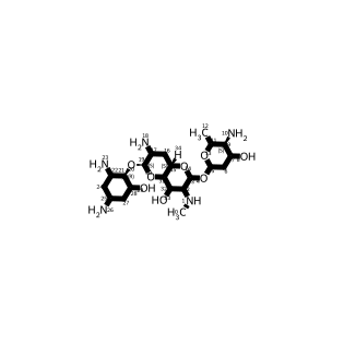 CNC1C(OC2CC(O)[C@H](N)C(C)O2)O[C@H]2CC(N)[C@@H](O[C@@H]3C(N)CC(N)CC3O)OC2C1O